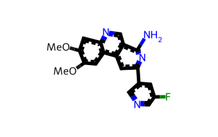 COc1cc2ncc3c(N)nc(-c4cncc(F)c4)cc3c2cc1OC